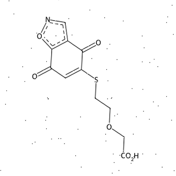 O=C(O)COCCSC1=CC(=O)c2oncc2C1=O